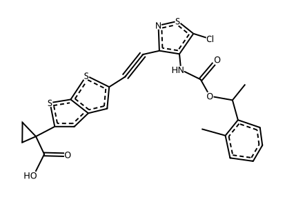 Cc1ccccc1C(C)OC(=O)Nc1c(C#Cc2cc3cc(C4(C(=O)O)CC4)sc3s2)nsc1Cl